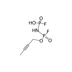 CC#CCOP(=O)(F)NP(=O)(O)F